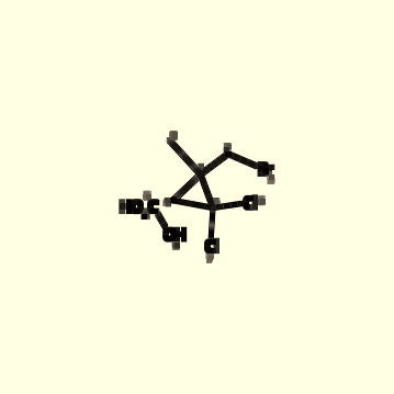 CC1(CBr)CC1(Cl)Cl.O=C(O)O